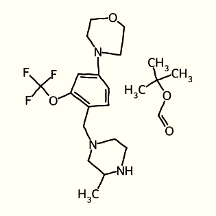 CC(C)(C)OC=O.CC1CN(Cc2ccc(N3CCOCC3)cc2OC(F)(F)F)CCN1